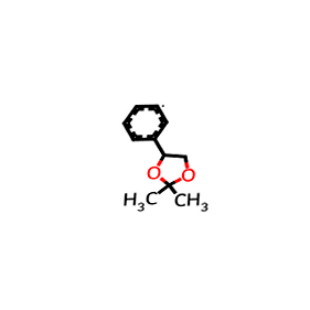 CC1(C)OCC(c2c[c]ccc2)O1